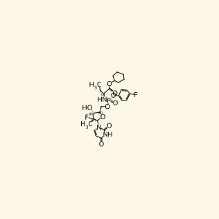 CC[C@H](NP(=O)(OC[C@H]1OC(n2ccc(=O)[nH]c2=O)[C@](C)(F)[C@@H]1O)Oc1ccc(F)cc1)C(=O)OC1CCCCC1